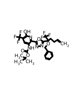 C=CCCC(OCc1ccccc1)(c1nnc(-c2nc(O)c(C(F)(F)F)cc2NC(=O)OC(C)(C)C)o1)C(F)(F)F